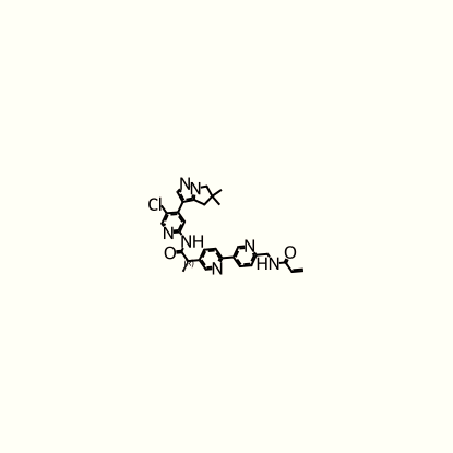 C=CC(=O)NCc1ccc(-c2ccc([C@@H](C)C(=O)Nc3cc(-c4cnn5c4CC(C)(C)C5)c(Cl)cn3)cn2)cn1